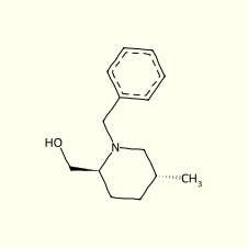 C[C@@H]1CC[C@@H](CO)N(Cc2ccccc2)C1